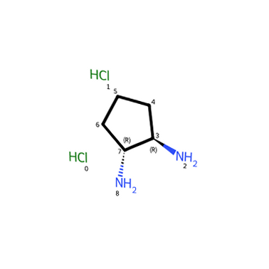 Cl.Cl.N[C@@H]1CCC[C@H]1N